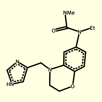 CCN(C(=O)NC)c1ccc2c(c1)N(Cc1c[nH]cn1)CCO2